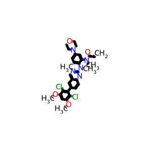 C=CC(=O)N(C)c1cc(N2CCOCC2)cc(C)c1N(C)c1ncc2cc(-c3c(Cl)c(OC)cc(OC)c3Cl)ccc2n1